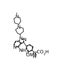 COc1cc(-c2nn(C3CCN(C4CCN(C)CC4)CC3)c3ccnc(N)c23)ccc1NC(=O)O